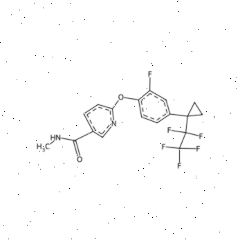 CNC(=O)c1ccc(Oc2ccc(C3(C(F)(F)C(F)(F)F)CC3)cc2F)nc1